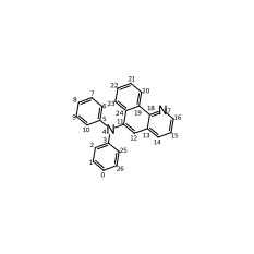 c1ccc(N(c2ccccc2)c2cc3cccnc3c3ccccc23)cc1